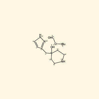 CC(C)(C)OC=O.OC1(Cc2cc[nH]n2)CCNCC1